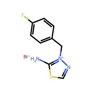 Nc1scn[n+]1Cc1ccc(F)cc1.[Br-]